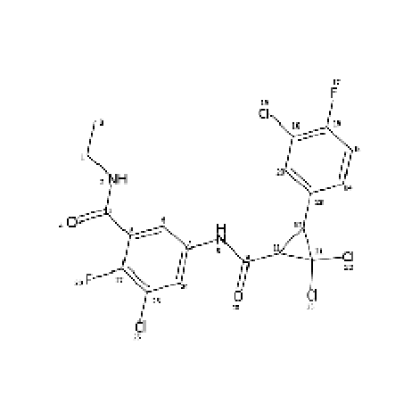 CCNC(=O)c1cc(NC(=O)C2C(c3ccc(F)c(Cl)c3)C2(Cl)Cl)cc(Cl)c1F